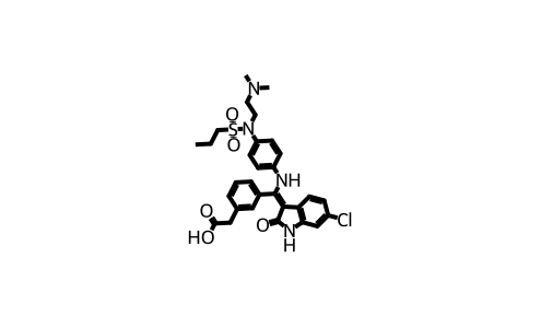 CCCS(=O)(=O)N(CCN(C)C)c1ccc(NC(=C2C(=O)Nc3cc(Cl)ccc32)c2cccc(CC(=O)O)c2)cc1